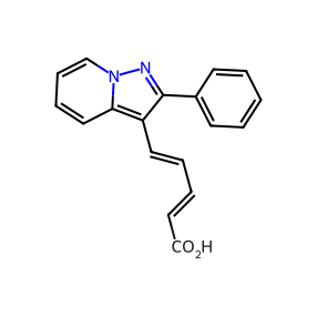 O=C(O)/C=C/C=C/c1c(-c2ccccc2)nn2ccccc12